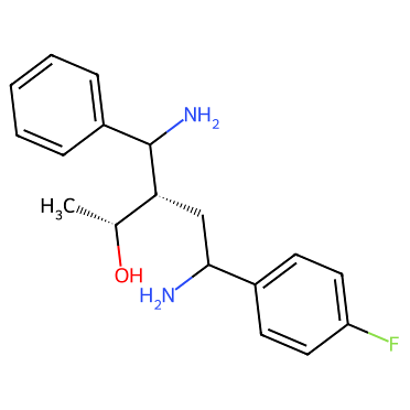 C[C@@H](O)[C@@H](CC(N)c1ccc(F)cc1)C(N)c1ccccc1